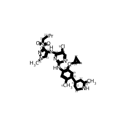 Cc1cc(Nc2ncc(Cl)c(Nc3cn(C)nc3S(=O)(=O)CC(C)C)n2)c(OC2CC2)cc1C1CCNC(C)C1